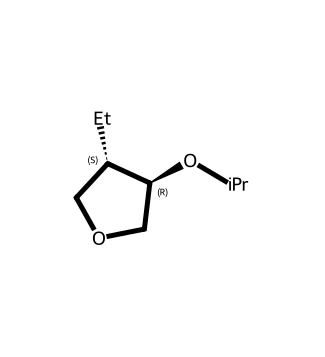 CC[C@H]1COC[C@@H]1OC(C)C